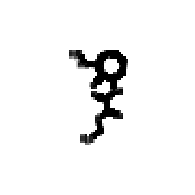 CCOC(=O)C(=O)Nc1ccccc(NC)c1=O